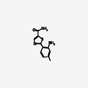 Cc1ccc(-c2ncc(C(N)=O)s2)c(N)c1